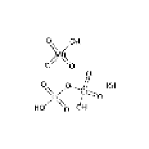 [KH].[O]=[Cr](=[O])([OH])[O][Cr](=[O])(=[O])[OH].[O]=[Mn](=[O])(=[O])[OH]